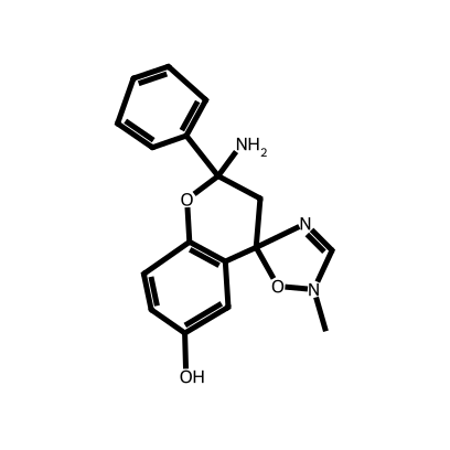 CN1C=NC2(CC(N)(c3ccccc3)Oc3ccc(O)cc32)O1